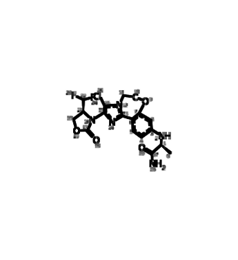 C[C@H](Nc1ccc2c(c1)OCCn1c-2nc(N2C(=O)OC[C@H]2C(F)F)c1Cl)C(N)=O